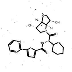 O=C(N[C@H](C(=O)N1C[C@H](Cl)[C@H]2OC[C@H](O)[C@H]21)C1CCCCC1)c1ccc(-c2ncccn2)s1